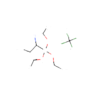 CCO[Si](OCC)(OCC)C(N)CC.ClC(Cl)(Cl)Cl